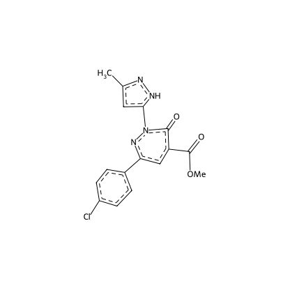 COC(=O)c1cc(-c2ccc(Cl)cc2)nn(-c2cc(C)n[nH]2)c1=O